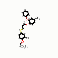 CCOC(=O)COc1ccc(SCC[C@H](C)Oc2ccc(C(F)(F)F)cc2Oc2ccccc2)cc1CC